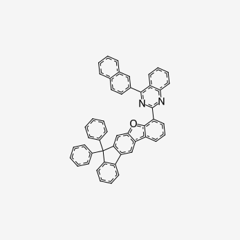 c1ccc(C2(c3ccccc3)c3ccccc3-c3cc4c(cc32)oc2c(-c3nc(-c5ccc6ccccc6c5)c5ccccc5n3)cccc24)cc1